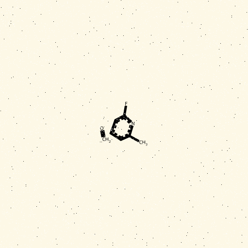 C=O.Cc1cccc(F)n1